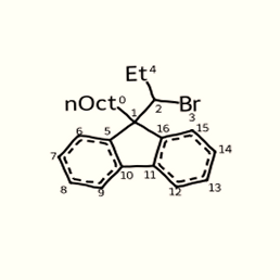 CCCCCCCCC1(C(Br)CC)c2ccccc2-c2ccccc21